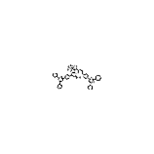 C=CC1=C(/C=C\Cc2ccc(-c3cc(-c4ccccc4)nc(C4=CC=CC=C=C4)n3)cc2)CC/C(=C\C(=C/C=N)c2ccc(-c3cc(-c4ccccc4)nc(-c4ccccc4)n3)cc2)C1(C)CC